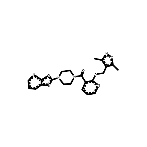 Cc1noc(C)c1CSc1ncccc1C(=O)N1CCN(c2nc3cccnc3s2)CC1